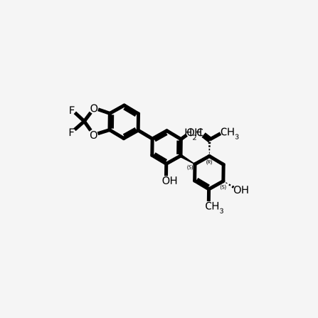 C=C(C)[C@@H]1C[C@H](O)C(C)=C[C@H]1c1c(O)cc(-c2ccc3c(c2)OC(F)(F)O3)cc1O